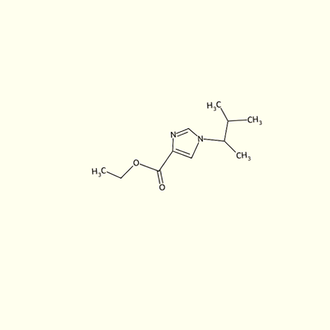 CCOC(=O)c1cn(C(C)C(C)C)cn1